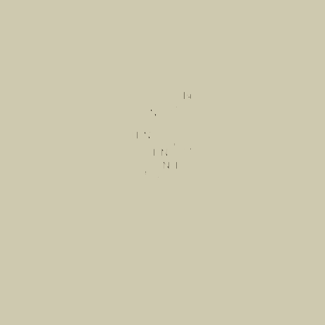 Nc1ncc(Br)cc1C(=O)NNC(=O)c1ccc(F)cc1